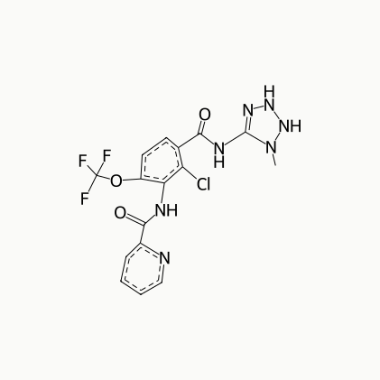 CN1NNN=C1NC(=O)c1ccc(OC(F)(F)F)c(NC(=O)c2ccccn2)c1Cl